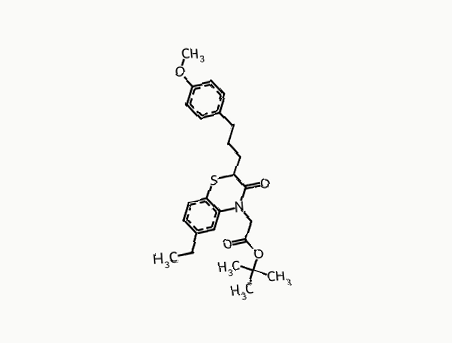 CCc1ccc2c(c1)N(CC(=O)OC(C)(C)C)C(=O)C(CCCc1ccc(OC)cc1)S2